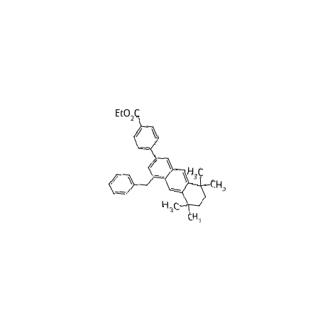 CCOC(=O)c1ccc(-c2cc(Cc3ccccc3)c3cc4c(cc3c2)C(C)(C)CCC4(C)C)cc1